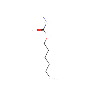 CCCCCCCCCCCCOC(=O)NCCC